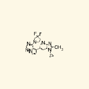 Cc1nc2ncc(-c3ccn4ncnc(N5CCC(F)(F)C5)c34)cc2n1C1CC1